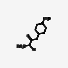 CCOC(=O)C(C(C)=O)C(=O)CC1CCN(C(=O)O)CC1